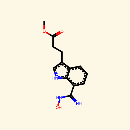 COC(=O)CCc1c[nH]c2c(C(=N)NO)cccc12